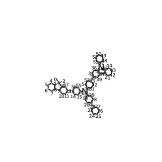 CC1(C)c2ccccc2-c2ccc(-c3ccc(N(c4ccc(-c5ccccc5)cc4)c4ccc(-c5ccc6c(c5)c5ccccc5n6-c5ccccc5)cc4)cc3)cc21